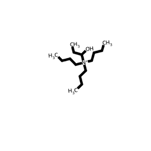 CCCC[N+](CCCC)(CCCC)C(O)CC